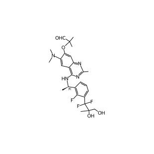 Cc1nc(N[C@H](C)c2cccc(C(F)(F)C(C)(O)CO)c2F)c2cc(N(C)C)c(OC(C)(C)C=O)cc2n1